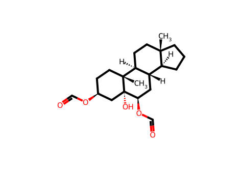 C[C@@]12CCC[C@H]1[C@@H]1C[C@@H](OC=O)[C@@]3(O)C[C@@H](OC=O)CC[C@]3(C)[C@H]1CC2